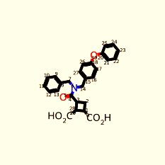 O=C(O)C1CC(C(=O)N(Cc2ccccc2)Cc2ccc(Oc3ccccc3)cc2)C1C(=O)O